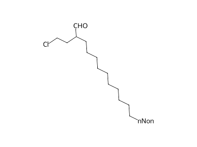 CCCCCCCCCCCCCCCCCCCC(C=O)CCCl